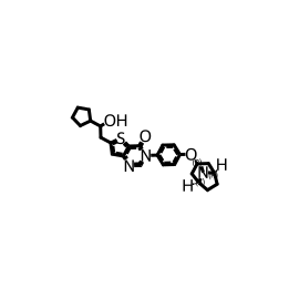 CN1[C@@H]2CC[C@H]1C[C@@H](Oc1ccc(-n3cnc4cc(CC(O)C5CCCC5)sc4c3=O)cc1)C2